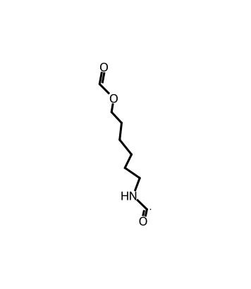 O=[C]NCCCCCCOC=O